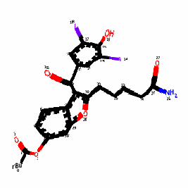 CCCCC(=O)Oc1ccc2c(C(=O)c3cc(I)c(O)c(I)c3)c(CCCCC(N)=O)oc2c1